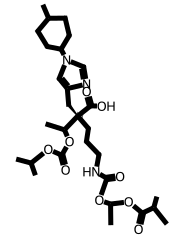 CC1CCC(n2cnc(C[C@](CCCNC(=O)OC(C)OC(=O)C(C)C)(C(=O)O)C(C)OC(=O)OC(C)C)c2)CC1